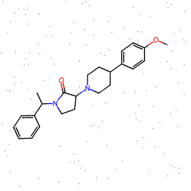 COc1ccc(C2CCN(C3CCN(C(C)c4ccccc4)C3=O)CC2)cc1